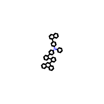 c1ccc(N(c2ccc(-c3ccccc3-c3ccccc3-c3cc4ccccc4c4ccccc34)cc2)c2ccc(-c3cccc4ccccc34)cc2)cc1